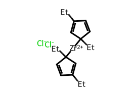 CCC1=C[C](CC)([Zr+2][C]2(CC)C=CC(CC)=C2)C=C1.[Cl-].[Cl-]